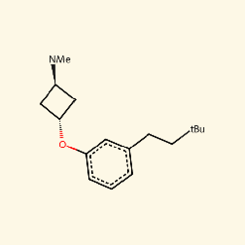 CN[C@H]1C[C@H](Oc2cccc(CCC(C)(C)C)c2)C1